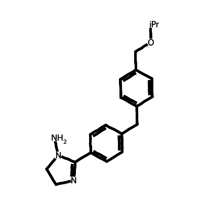 CC(C)OCc1ccc(Cc2ccc(C3=NCCN3N)cc2)cc1